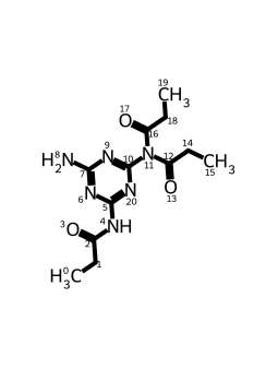 CCC(=O)Nc1nc(N)nc(N(C(=O)CC)C(=O)CC)n1